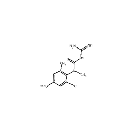 COc1cc(C)c(N(C)C(=O)NC(=N)N)c(Cl)c1